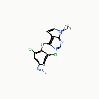 Cn1ccc2c(Oc3c(Cl)cc(N)cc3Cl)ncnc21